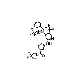 CN(c1ccccc1CNc1nc(Nc2cccc(C(=O)N3CCC(F)(F)C3)c2)ncc1C(F)(F)F)S(C)(=O)=O